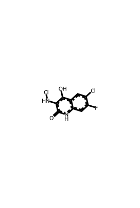 O=c1[nH]c2cc(F)c(Cl)cc2c(O)c1NCl